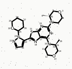 C[C@@H]1COCCN1c1nc(N2CCOC[C@@H]2C)c2nc(-c3ccnn3C3CCCCO3)sc2n1